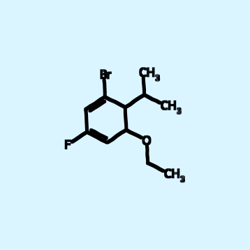 CCOC1C=C(F)C=C(Br)C1C(C)C